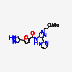 COCCn1cc(NC(=O)c2ccc(-c3cn[nH]c3)o2)c(-c2ncccn2)n1